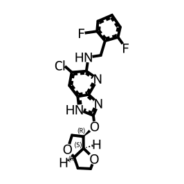 Fc1cccc(F)c1CNc1nc2nc(O[C@@H]3CO[C@@H]4CCO[C@@H]43)[nH]c2cc1Cl